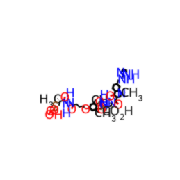 Cc1cc(OCCCC(=O)NNC(=O)[C@@H](C)CSOOO)cc(C)c1S(=O)(=O)N[C@@H](CNC(=O)c1cn(C)c2cc(CNc3ncc[nH]3)ccc2c1=O)C(=O)O